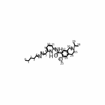 CCCC/C=N/N=C/C1=CC=CC(NC(=O)c2cc3c(cc2OC)CCN(C(C)C)C3)N1